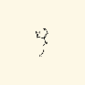 N#C/N=C(\N=N)NCCS